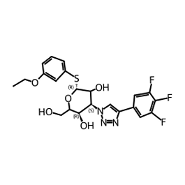 CCOc1cccc(S[C@H]2OC(CO)[C@H](O)[C@H](n3cc(-c4cc(F)c(F)c(F)c4)nn3)C2O)c1